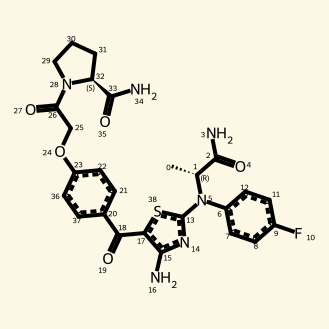 C[C@H](C(N)=O)N(c1ccc(F)cc1)c1nc(N)c(C(=O)c2ccc(OCC(=O)N3CCC[C@H]3C(N)=O)cc2)s1